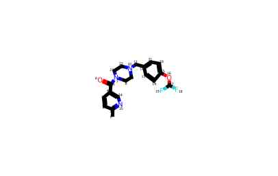 Cc1ccc(C(=O)N2CCN(Cc3ccc(OC(F)F)cc3)CC2)cn1